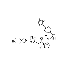 CC(NC(=O)[C@@H]1CCCN1C(=O)C(c1cc(N2CC3(CCNCC3)C2)no1)C(C)C)c1ccc(-c2ccnn2C)cc1